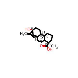 C=C1CC23CCC4[C@](C)(C(=O)O)CCC[C@@]4(C)[C@@H]2CC[C@]1(O)C3